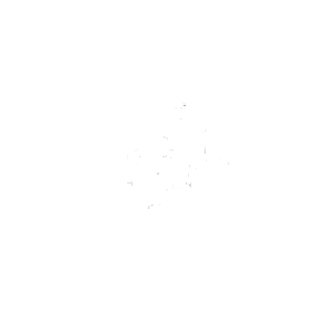 CC1=Nc2c(F)cc(Br)cc2C1(C)C